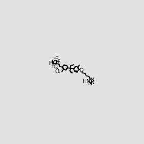 CCC(CC)(c1ccc(C=CC(OCOC)(C(F)(F)F)C(F)(F)F)c(C)c1)c1ccc(OCCCCc2nnn[nH]2)c(C)c1